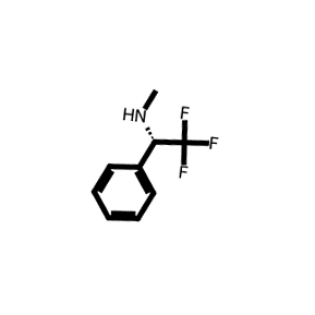 CN[C@@H](c1ccccc1)C(F)(F)F